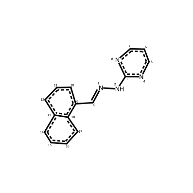 C(=NNc1ncccn1)c1cccc2ccccc12